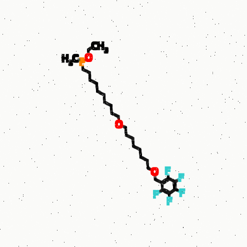 CCO[P@@](C)CCCCCCCCCCOCCCCCCCCOCc1c(F)c(F)c(F)c(F)c1F